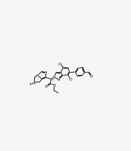 CCOC(=O)[C@@H](c1ncn2c1C[C@@H](F)C2)n1cc2c(Cl)cc(-c3ccc(C=O)cc3)c(Cl)c2n1